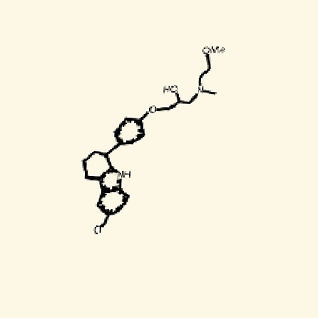 COCCN(C)CC(O)COc1ccc(C2CCCc3c2[nH]c2ccc(Cl)cc32)cc1